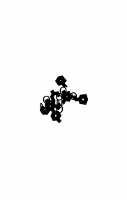 Cc1ccc(-c2c(C(=O)NCc3cc(OCc4ccccc4)cc(OCc4ccccc4)c3)n(CCC(C)CO)c(=O)c3ncccc23)cc1